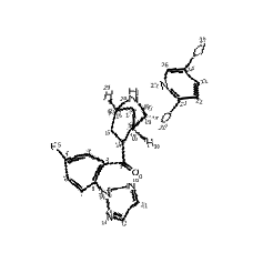 O=C(c1cc(F)ccc1-n1nccn1)C1C[C@H]2C[C@@H]1[C@@H](Oc1ccc(Cl)cn1)N2